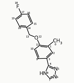 Cc1cc(-c2nnc[nH]2)ccc1OCc1ccc(F)cc1